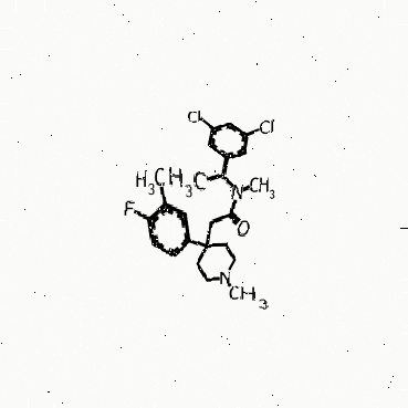 Cc1cc(C2(CC(=O)N(C)C(C)c3cc(Cl)cc(Cl)c3)CCN(C)CC2)ccc1F